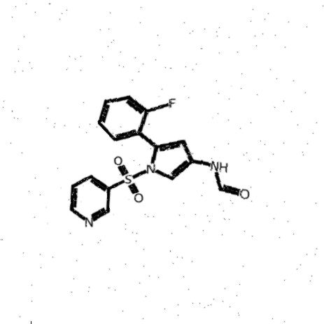 O=CNc1cc(-c2ccccc2F)n(S(=O)(=O)c2cccnc2)c1